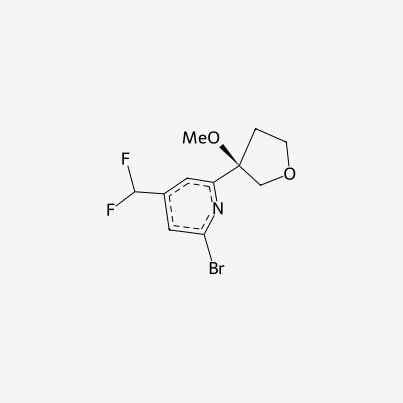 CO[C@@]1(c2cc(C(F)F)cc(Br)n2)CCOC1